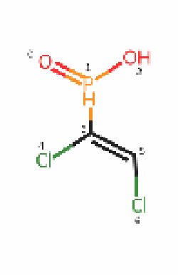 O=[PH](O)C(Cl)=CCl